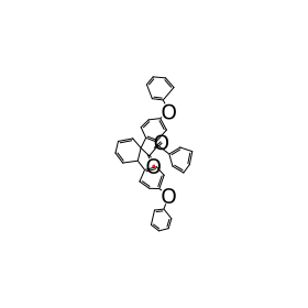 O=C(C(=O)C1(c2ccc(Oc3ccccc3)cc2)C=CC=CC1c1ccc(Oc2ccccc2)cc1)c1ccccc1